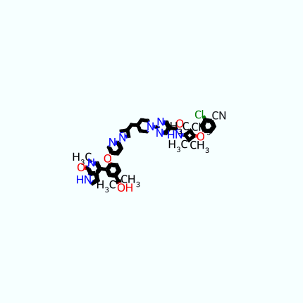 Cn1cc(-c2cc(C(C)(C)O)ccc2Oc2ccc(N3CC(CC4CCN(c5ncc(C(=O)NC6C(C)(C)C(Oc7ccc(C#N)c(Cl)c7)C6(C)C)cn5)CC4)C3)nc2)c2cc[nH]c2c1=O